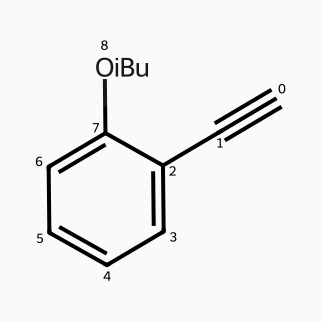 C#Cc1ccccc1OCC(C)C